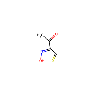 CC(=O)C(C=S)=NO